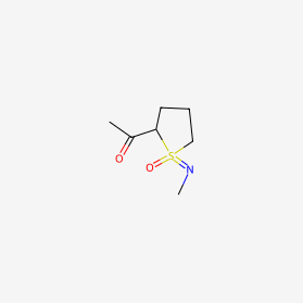 CN=S1(=O)CCCC1C(C)=O